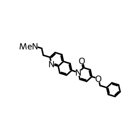 CNCCc1ccc2cc(-n3ccc(OCc4ccccc4)cc3=O)ccc2n1